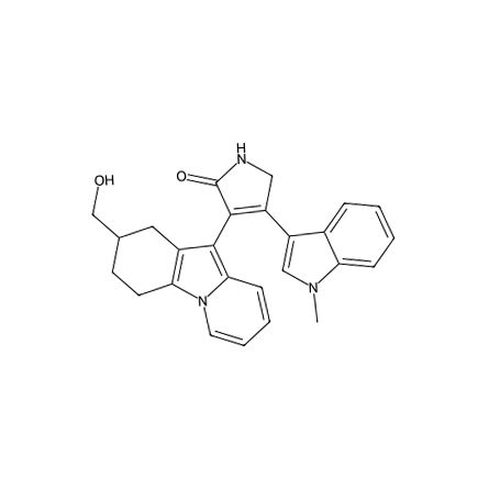 Cn1cc(C2=C(c3c4c(n5ccccc35)CCC(CO)C4)C(=O)NC2)c2ccccc21